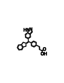 O=C(O)/C=C/c1ccc(C(=C2Cc3ccccc3C2)c2ccc3[nH]ncc3c2)cc1